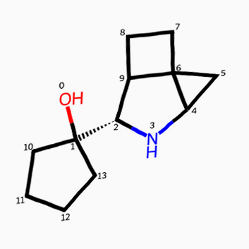 OC1([C@H]2NC3CC34CCC24)CCCC1